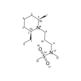 CC[C@H]1CCC[C@@H](C)N1CCCN(C)S(C)(=O)=O